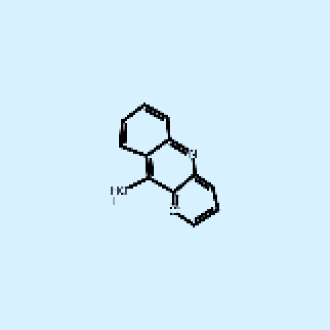 Oc1c2c(nc3ccccc13)=CC=C[C+]=2.[I-]